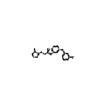 CC1CCCN1CCc1cc2cc(Sc3cccc(F)c3)ccc2o1